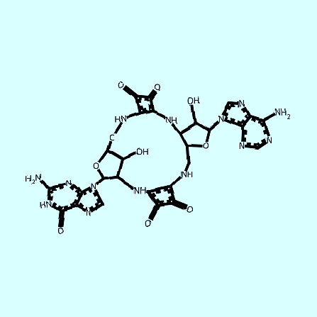 Nc1nc2c(ncn2C2OC3CNc4c(c(=O)c4=O)NC4C(CNc5c(c(=O)c5=O)NC2C3O)OC(n2cnc3c(N)ncnc32)C4O)c(=O)[nH]1